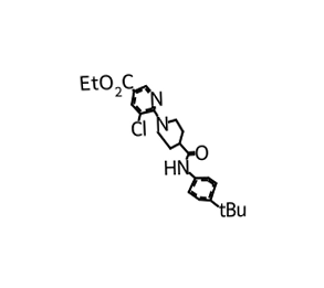 CCOC(=O)c1cnc(N2CCC(C(=O)Nc3ccc(C(C)(C)C)cc3)CC2)c(Cl)c1